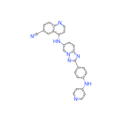 N#Cc1ccc2nccc(Nc3ccc4nc(-c5ccc(Nc6ccncc6)cc5)nn4c3)c2c1